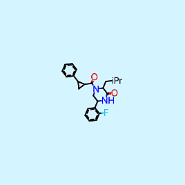 CC(C)CC1C(=O)NC(c2ccccc2F)CN1C(=O)C1CC1c1ccccc1